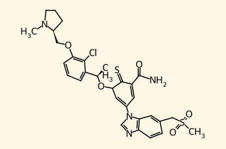 C[C@@H](OC1C=C(n2cnc3ccc(CS(C)(=O)=O)cc32)C=C(C(N)=O)C1=S)c1cccc(OC[C@@H]2CCCN2C)c1Cl